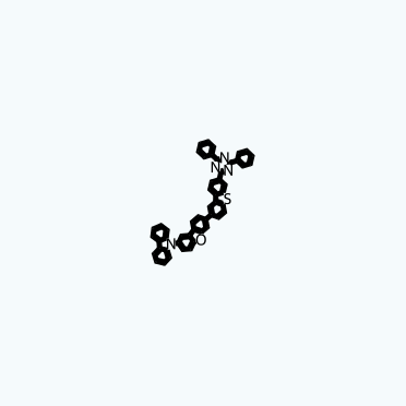 c1ccc(-c2nc(-c3ccccc3)nc(-c3ccc4c(c3)sc3ccc(-c5ccc6c(c5)oc5ccc(-n7c8ccccc8c8ccccc87)cc56)cc34)n2)cc1